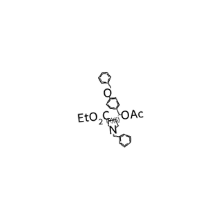 CCOC(=O)[C@H]1CN(Cc2ccccc2)C[C@H]1C(OC(C)=O)c1ccc(OCc2ccccc2)cc1